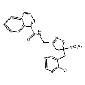 CCOC(=O)C1(Cc2ccccc2Cl)CC(CNC(=O)c2nccc3ccccc23)=NO1